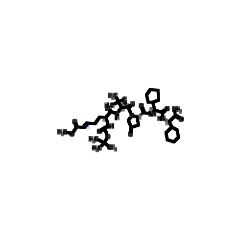 COC(=O)/C=C/CC[C@H](NC(=O)OC(C)(C)C)C(=O)N[C@H](C(=O)N1CC(=O)C[C@H]1C(=O)N[C@H](C(=O)N[C@H](C(N)=O)C1CCCCC1)C1CCCCC1)C(C)(C)C